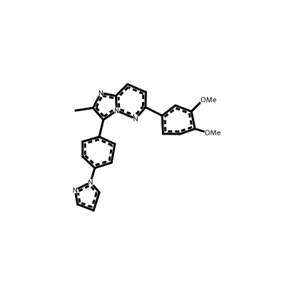 COc1ccc(-c2ccc3nc(C)c(-c4ccc(-n5cccn5)cc4)n3n2)cc1OC